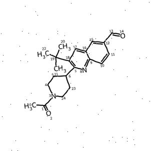 CC(=O)N1CCC(c2nc3ccc(C=O)cc3cc2C(C)(C)C)CC1